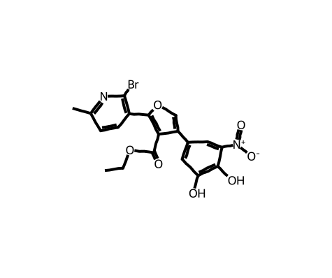 CCOC(=O)c1c(-c2cc(O)c(O)c([N+](=O)[O-])c2)coc1-c1ccc(C)nc1Br